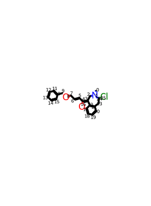 CN1Cc2c(C=CCOCc3ccccc3)oc3cccc(c23)CC1Cl